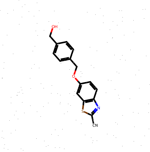 N#Cc1nc2ccc(OCc3ccc(CO)cc3)cc2s1